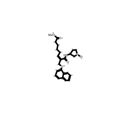 CCN1CCC(NC(=O)C(=CCCCCC(=O)OC)COc2cccc3ccccc23)C1